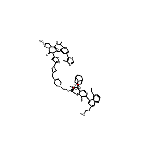 CCc1cccc2cc(OCOC)cc(-c3ncc4c(N5CC6CCC(C5)N6C(=O)OC(C)(C)C)nc(OCCN5CCN(CC6CN(c7cc(C(C(=O)N8C[C@H](O)C[C@H]8C(=O)NC(C)c8ccc(-c9scnc9C)cc8)C(C)C)on7)C6)CC5)nc4c3F)c12